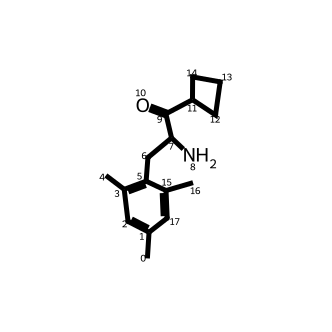 Cc1cc(C)c(CC(N)C(=O)C2CCC2)c(C)c1